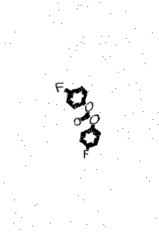 O=C(Oc1ccc(F)cc1)Oc1ccc(F)cc1